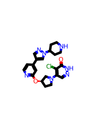 O=c1[nH]ncc(N2CC[C@@H](Oc3cc(-c4cnn(C5CCNCC5)c4)ccn3)C2)c1Cl